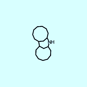 C1CCCC2CC(CCC1)C1CCCCCCCC(C1)N2